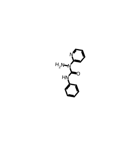 NN(C(=O)Nc1ccccc1)c1ccccn1